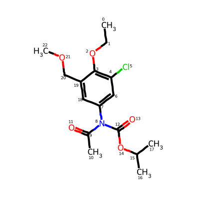 CCOc1c(Cl)cc(N(C(C)=O)C(=O)OC(C)C)cc1COC